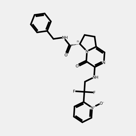 O=C(NCc1ccccc1)[C@@H]1CCc2cnc(NCC(F)(F)c3cccc[n+]3[O-])c(=O)n21